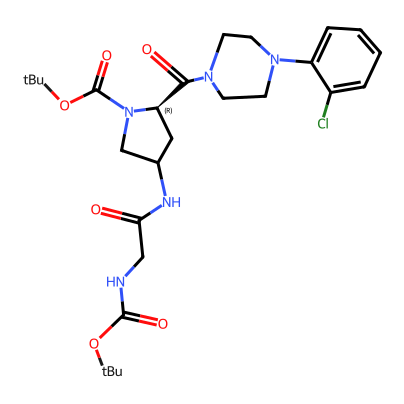 CC(C)(C)OC(=O)NCC(=O)NC1C[C@H](C(=O)N2CCN(c3ccccc3Cl)CC2)N(C(=O)OC(C)(C)C)C1